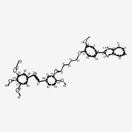 COc1cc(-c2nc3ccccc3s2)ccc1OCCCCCOc1cc(C=Cc2cc(OC)c(OC)c(OC)c2)ccc1OC